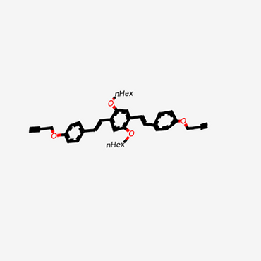 C#CCOc1ccc(C=Cc2cc(OCCCCCC)c(C=Cc3ccc(OCC#C)cc3)cc2OCCCCCC)cc1